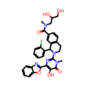 CN(CC(O)CO)C(=O)c1ccc2c(c1)C(c1ccccc1F)N(c1nc(-c3nc4ccccc4o3)c(O)c(=O)n1C)CC2